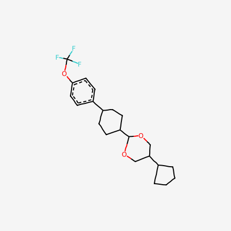 FC(F)(F)Oc1ccc(C2CCC(C3OCC(C4CCCC4)CO3)CC2)cc1